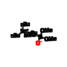 CCC[CH2][Sn+]([CH2]CCC)[CH2]CCC.CO[Si]([O-])(OC)OC